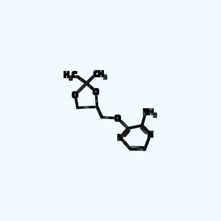 CC1(C)OCC(COc2nccnc2N)O1